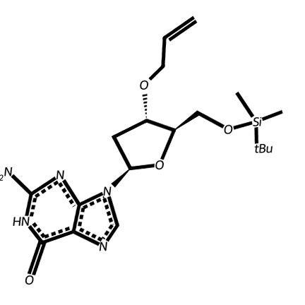 C=CCO[C@H]1C[C@H](n2cnc3c(=O)[nH]c(N)nc32)O[C@@H]1CO[Si](C)(C)C(C)(C)C